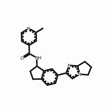 Cc1cc(C(=O)NC2CCc3ccc(-c4cn5c(n4)CCC5)cc32)ccn1